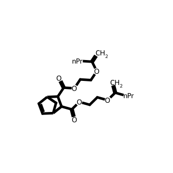 C=C(CCC)OCCOC(=O)C1C2C=CC(C2)C1C(=O)OCCOC(=C)CCC